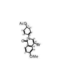 COc1ccc2c(=O)n(C3=CCC(OC(C)=O)C=C3)cc(Br)c2c1